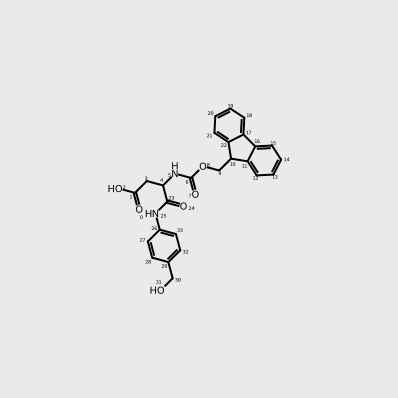 O=C(O)CC(NC(=O)OCC1c2ccccc2-c2ccccc21)C(=O)Nc1ccc(CO)cc1